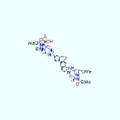 CC[C@H]1CC[C@@H](c2ncc(-c3ccc4c(c3)COc3cc5c(ccc6nc([C@@H]7C[C@H](COC)CN7C(=O)[C@H](CC)NC(=O)OC)[nH]c65)cc3-4)[nH]2)N1C(=O)[C@@H](NC(=O)OC)[C@@H](C)O